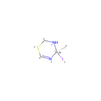 C[C@]1(I)N=CSCN1